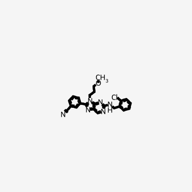 COCCCn1c(-c2cccc(C#N)c2)nc2cnc(NCc3ccccc3Cl)nc21